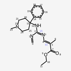 C=N/C(=N\C=C(/C)C(=O)OCC)NC1(c2ccccc2)CCN(C)CC1